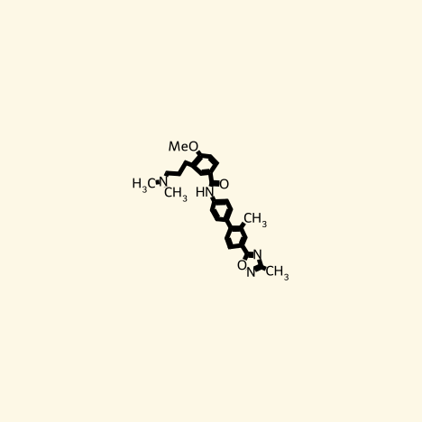 COc1ccc(C(=O)Nc2ccc(-c3ccc(-c4nc(C)no4)cc3C)cc2)cc1CCCN(C)C